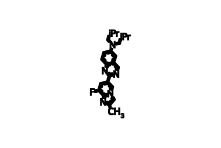 Cc1cn2cc(-c3ncc4cc(N(CC(C)C)CC(C)C)ccc4n3)cc(F)c2n1